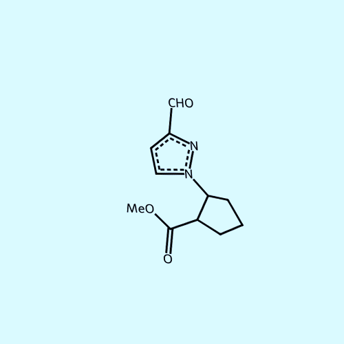 COC(=O)C1CCCC1n1ccc(C=O)n1